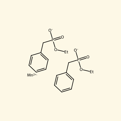 CCOP(=O)([O-])Cc1ccccc1.CCOP(=O)([O-])Cc1ccccc1.[Mn+2]